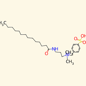 CCCCCCCCCCCCCC(=O)NCCC[N+](C)(C)Cc1ccc(S(=O)(=O)O)cc1